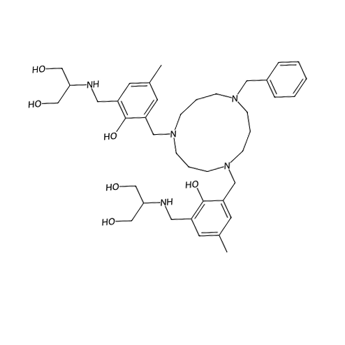 Cc1cc(CNC(CO)CO)c(O)c(CN2CCCN(Cc3ccccc3)CCCN(Cc3cc(C)cc(CNC(CO)CO)c3O)CCC2)c1